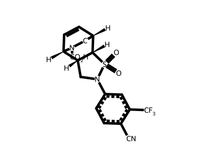 N#Cc1ccc(N2C[C@H]3[C@H]([C@H]4C=C[C@@H]3N(C(=O)O)C4)S2(=O)=O)cc1C(F)(F)F